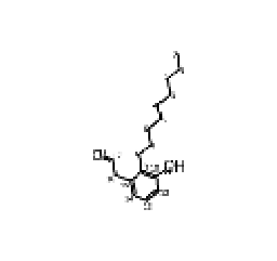 CCCCCCCCCc1c(O)cccc1CC=O